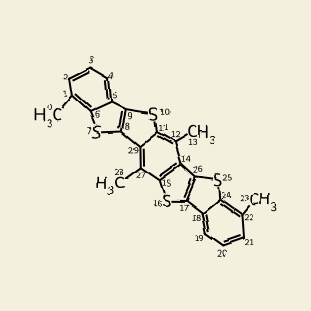 Cc1cccc2c1sc1c2sc2c(C)c3c(sc4c5cccc(C)c5sc43)c(C)c21